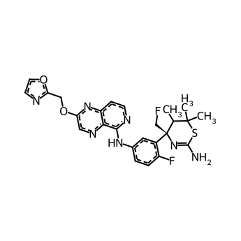 CC1C(C)(C)SC(N)=N[C@]1(CF)c1cc(Nc2nccc3nc(OCc4ncco4)cnc23)ccc1F